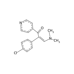 CN(C)/C=C(\C(=O)c1ccncc1)c1ccc(Cl)cc1